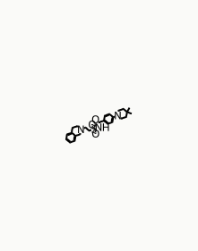 CC1(C)CCN(c2ccc(C(=O)NS(=O)(=O)CCN3CCc4ccccc4C3)cc2)CC1